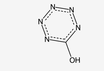 Oc1nnnnn1